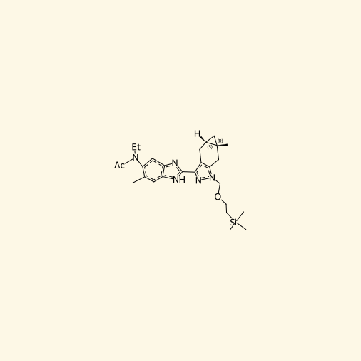 CCN(C(C)=O)c1cc2nc(-c3nn(COCC[Si](C)(C)C)c4c3C[C@@H]3C[C@]3(C)C4)[nH]c2cc1C